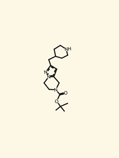 CC(C)(C)OC(=O)N1CCn2nc(CC3CCNCC3)cc2C1